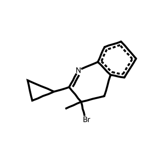 CC1(Br)Cc2ccccc2N=C1C1CC1